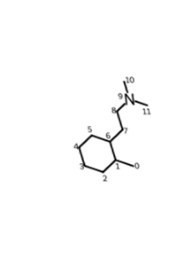 CC1CCCCC1CCN(C)C